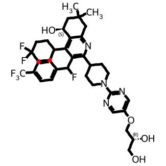 CC1(C)Cc2nc(C3CCN(c4ncc(OC[C@H](O)CO)cn4)CC3)c(C(F)c3ccc(C(F)(F)F)cc3)c(C3CCC(F)(F)CC3)c2[C@@H](O)C1